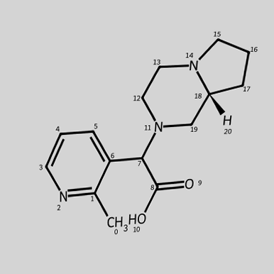 Cc1ncccc1C(C(=O)O)N1CCN2CCC[C@@H]2C1